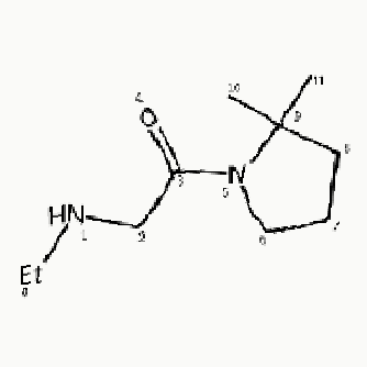 CCNCC(=O)N1CCCC1(C)C